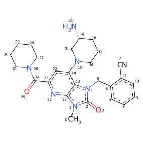 Cn1c(=O)n(Cc2ccccc2C#N)c2c(N3CCC[C@@H](N)C3)cc(C(=O)N3CCCCC3)nc21